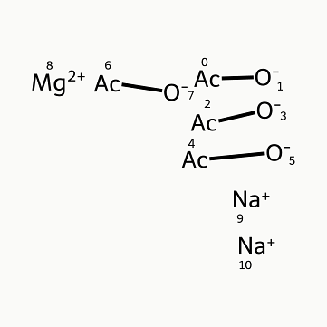 CC(=O)[O-].CC(=O)[O-].CC(=O)[O-].CC(=O)[O-].[Mg+2].[Na+].[Na+]